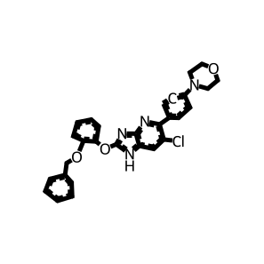 Clc1cc2[nH]c(Oc3ccccc3OCc3ccccc3)nc2nc1-c1ccc(N2CCOCC2)cc1